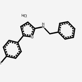 Cl.Clc1ccc(-c2ccc(NCc3ccccc3)o2)cc1